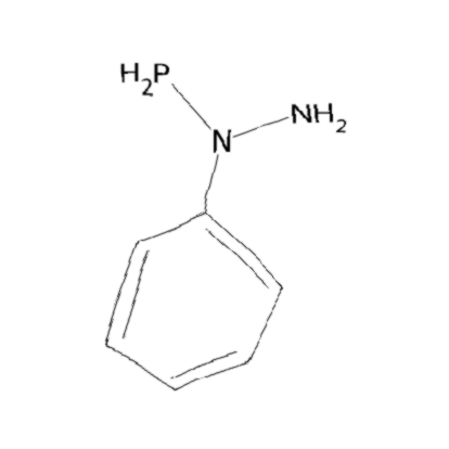 NN(P)c1ccccc1